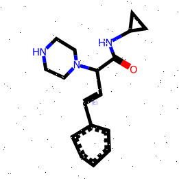 O=C(NC1CC1)C(/C=C/c1ccccc1)N1CCNCC1